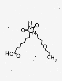 CCCOCCCCN1C(=O)NC(=O)C1CCCCCCC(=O)O